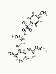 COc1ccc2ncc(=O)n(CC[C@H](O)COS(=O)(=O)c3ccc(C)cc3)c2n1